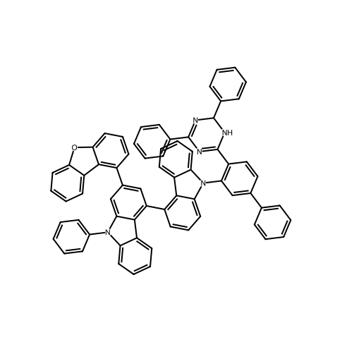 c1ccc(C2=NC(c3ccccc3)NC(c3ccc(-c4ccccc4)cc3-n3c4ccccc4c4c(-c5cc(-c6cccc7oc8ccccc8c67)cc6c5c5ccccc5n6-c5ccccc5)cccc43)=N2)cc1